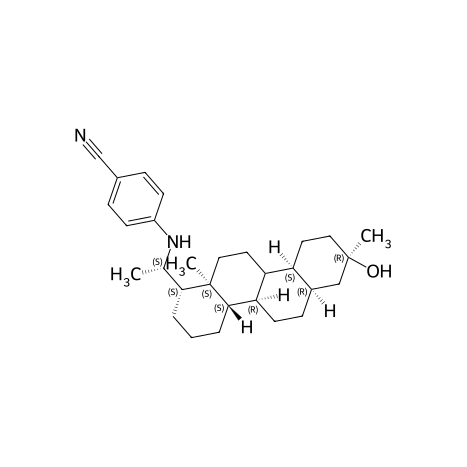 C[C@H](Nc1ccc(C#N)cc1)[C@H]1CCC[C@H]2[C@@H]3CC[C@@H]4C[C@](C)(O)CC[C@@H]4C3CC[C@]12C